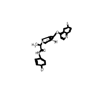 CC(C(=O)Nc1ccc(Cl)cc1)N1CC2C(Oc3ccnc4ccc(F)cc34)[C@H]2C1